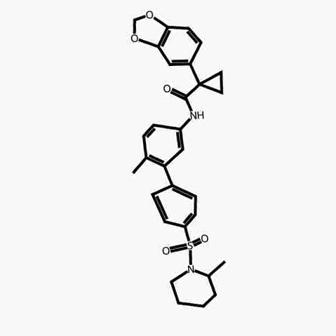 Cc1ccc(NC(=O)C2(c3ccc4c(c3)OCO4)CC2)cc1-c1ccc(S(=O)(=O)N2CCCCC2C)cc1